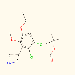 CC(C)(C)OC=O.CCOc1cc(Cl)c(Cl)c(C2CNC2)c1OC